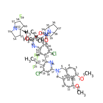 COc1ccc(CN(Cc2ccc(OC)cc2)c2cc(Cl)c(C(C)(F)F)c(-c3c(Cl)cc4c(N5CC6CCC(C5)N6C(=O)OC(C)(C)C)cc(OC[C@@]56CCCN5C[C@H](F)C6)nc4c3F)n2)cc1